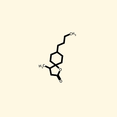 CCCCC1CCC2(CC1)OC(=O)CC2C